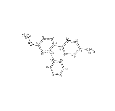 COc1ccc(-c2ccc(C)cc2)c(-c2ccccc2)c1